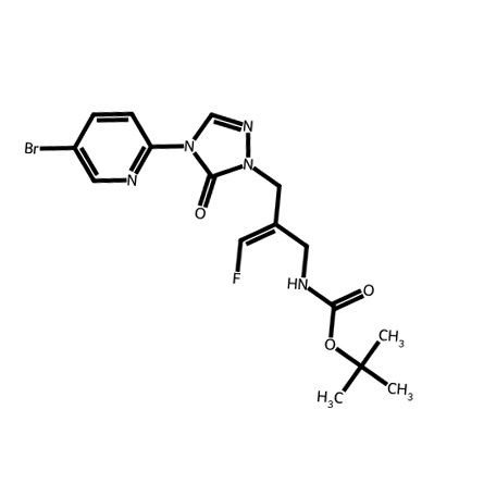 CC(C)(C)OC(=O)NCC(=CF)Cn1ncn(-c2ccc(Br)cn2)c1=O